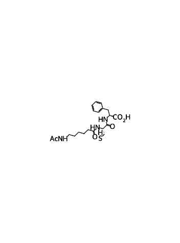 CC(=O)NCCCCCC(=O)N[C@@H](CS)C(=O)N[C@@H](Cc1ccccc1)C(=O)O